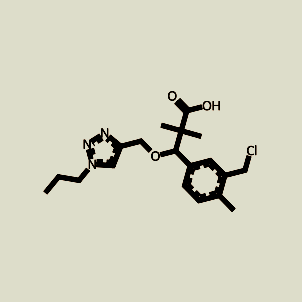 CCCn1cc(COC(c2ccc(C)c(CCl)c2)C(C)(C)C(=O)O)nn1